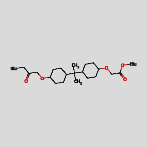 CC(C)(C)CC(=O)COC1CCC(C(C)(C)C2CCC(OCC(=O)OC(C)(C)C)CC2)CC1